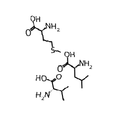 CC(C)C[C@H](N)C(=O)O.CC(C)[C@H](N)C(=O)O.CSCC[C@H](N)C(=O)O